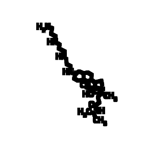 CC(C)NC(=O)CC[C@@H](C)[C@H]1CCC2C3CCC4C[C@@H](NCCCNCCCNCCCN)CC[C@]4(C)C3C[C@H](O)[C@@]21C